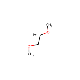 COCCOC.[Pr]